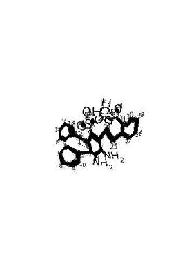 Nc1c(N)c(-c2ccccc2)c(-c2ccccc2)c(S(=O)(=O)O)c1C=Cc1ccccc1S(=O)(=O)O